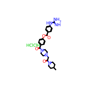 CC1CCN(C(=O)CN2CCN(C(=O)c3ccc(OC(=O)c4ccc(NC(=N)N)cc4)cc3)CC2)CC1.Cl.Cl